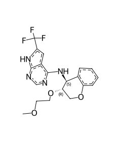 COCCO[C@H]1COc2ccccc2[C@@H]1Nc1ncnc2[nH]c(C(F)(F)F)cc12